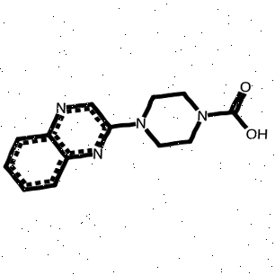 O=C(O)N1CCN(c2cnc3ccccc3n2)CC1